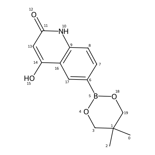 CC1(C)COB(c2ccc3[nH]c(=O)cc(O)c3c2)OC1